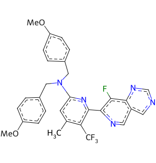 COc1ccc(CN(Cc2ccc(OC)cc2)c2cc(C)c(C(F)(F)F)c(-c3ncc4cncnc4c3F)n2)cc1